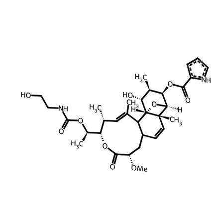 CO[C@H]1CC2C=C[C@]3(C)[C@H]4[C@H](O)[C@@H](C)[C@@H](OC(=O)c5ccc[nH]5)[C@@H]3O[C@@]24/C(C)=C/[C@@H](C)[C@@H]([C@@H](C)OC(=O)NCCO)OC1=O